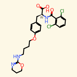 O=C(N[C@@H](Cc1ccc(OCCCCNC2=NCCCO2)cc1)C(=O)O)c1c(Cl)cccc1Cl